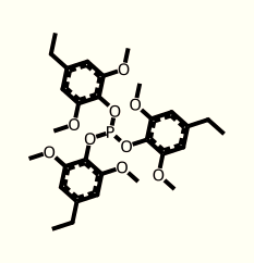 CCc1cc(OC)c(OP(Oc2c(OC)cc(CC)cc2OC)Oc2c(OC)cc(CC)cc2OC)c(OC)c1